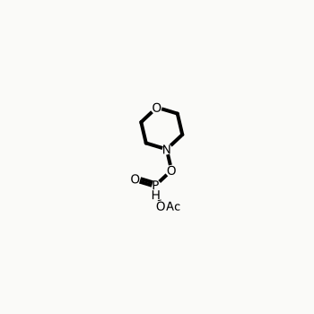 CC(=O)O[PH](=O)ON1CCOCC1